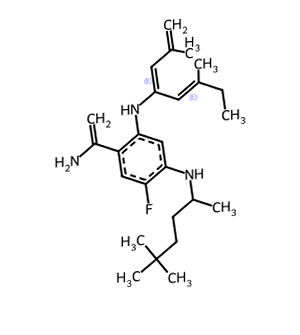 C=C(C)/C=C(\C=C(/C)CC)Nc1cc(NC(C)CCC(C)(C)C)c(F)cc1C(=C)N